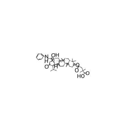 CC(C)C1=C2[C@H]3CCC4[C@@]5(C)CC[C@H](OC(=O)CC(C)(C)C(=O)O)C(C)(C)C5CC[C@@]4(C)[C@]3(C)CC[C@@]2([C@H](O)CNc2ccccc2)CC1=O